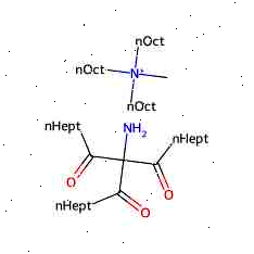 CCCCCCCC(=O)C(N)(C(=O)CCCCCCC)C(=O)CCCCCCC.CCCCCCCC[N+](C)(CCCCCCCC)CCCCCCCC